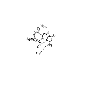 NCCNC(CC(=O)[O-])C(CC(=O)[O-])(CC(=O)[O-])N(CC(=O)[O-])CC(=O)[O-].[Fe+3].[NH4+].[NH4+]